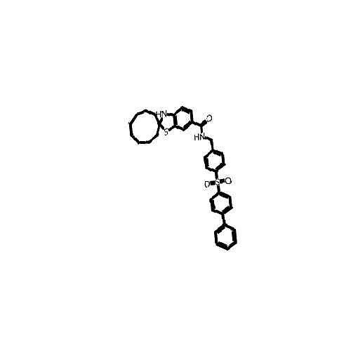 O=C(NCc1ccc(S(=O)(=O)c2ccc(-c3ccccc3)cc2)cc1)c1ccc2c(c1)SC1(CCCCCCCC1)N2